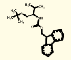 CC(C)[C@H](CSC(C)(C)C)NC(=O)OCC1c2ccccc2-c2ccccc21